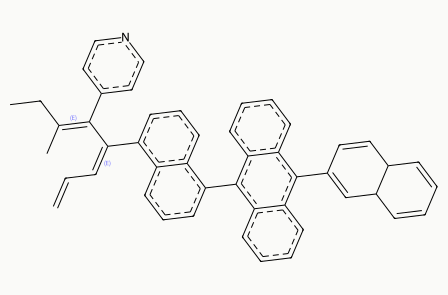 C=C/C=C(\C(=C(/C)CC)c1ccncc1)c1cccc2c(-c3c4ccccc4c(C4=CC5C=CC=CC5C=C4)c4ccccc34)cccc12